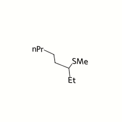 CCCCCC(CC)SC